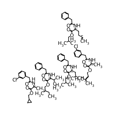 CC(C)=CCOC(=O)[C@H](C)NC(=O)Cc1cccc(Cl)c1.CC(C)COC(=O)[C@H](CC(C)C)NC(=O)Cc1ccccc1.CCC(C)COC(=O)[C@@H](NC(=O)Cc1ccccc1)C(C)C.CSCC[C@H](NC(=O)Cc1ccccc1)C(=O)OCC(C)C.C[C@H](NC(=O)Cc1cccc(Cl)c1)C(=O)OCC1CC1